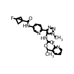 C[C@@H](OC(=O)Nc1c(-c2ccc(NC(=O)C34CC(F)(C3)C4)cn2)nnn1C)c1cccnc1F